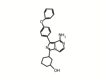 Nc1nccn2c(C3CCCC(O)C3)nc(-c3ccc(Oc4ccccc4)cc3)c12